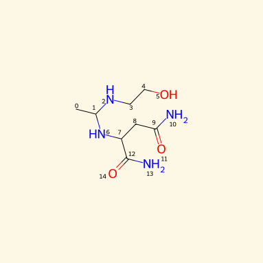 CC(NCCO)NC(CC(N)=O)C(N)=O